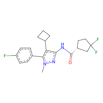 Cn1nc(NC(=O)[C@@H]2CCC(F)(F)C2)c(C2CCC2)c1-c1ccc(F)cc1